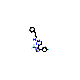 Fc1ccc(-c2ncn(C(F)F)c2-c2ccnc(NCCCc3ccccc3)n2)cc1